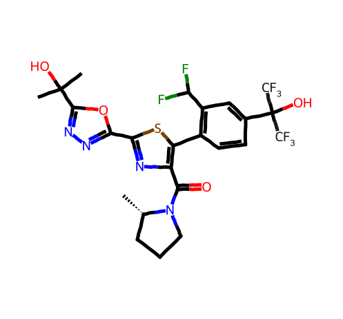 C[C@H]1CCCN1C(=O)c1nc(-c2nnc(C(C)(C)O)o2)sc1-c1ccc(C(O)(C(F)(F)F)C(F)(F)F)cc1C(F)F